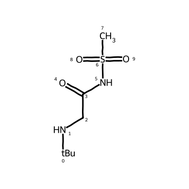 CC(C)(C)NCC(=O)NS(C)(=O)=O